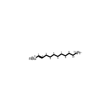 CCCCC=CCCCCCCCC[C](C)C